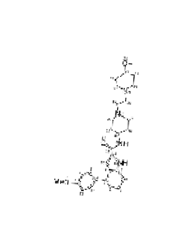 COc1ccc(-c2cccc3[nH]c(C(=O)NC4CCN(CCN5CCC(O)CC5)CC4)cc23)cc1